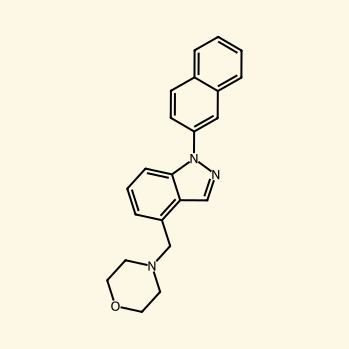 c1ccc2cc(-n3ncc4c(CN5CCOCC5)cccc43)ccc2c1